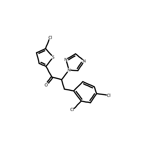 O=C(c1ccc(Cl)s1)C(Cc1ccc(Cl)cc1Cl)n1cncn1